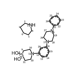 C1CCNCC1.OS1(O)CCN(c2cccc(N3CCN(c4ccccc4)CC3)c2)CC1